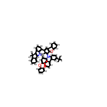 CC(C)(C)c1ccc(N2c3cc4c(cc3B3c5c(cc6c(oc7ccccc76)c52)-c2cccc5c6c(n3c25)-c2ccccc2C6(C)C)Oc2ccccc2O4)c(-c2ccccc2)c1